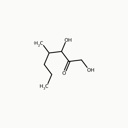 [CH2]C(CCC)C(O)C(=O)CO